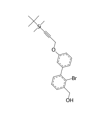 CC(C)(C)[Si](C)(C)C#CCOc1cccc(-c2cccc(CO)c2Br)c1